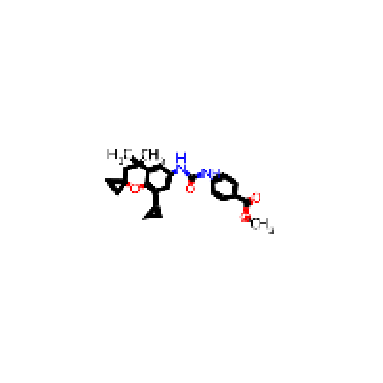 COC(=O)c1ccc(NC(=O)Nc2cc(C3CC3)c3c(c2)C(C)(C)CC2(CC2)O3)cc1